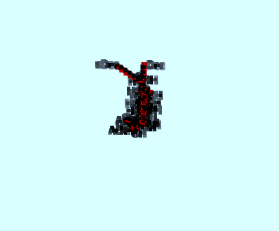 CCCCCCCCCCCCC/C=C/[C@@H](O)[C@H](CO[C@@H]1OC(CO)[C@@H](O[C@@H]2OC(CO)[C@H](O[C@@H]3OC(CO)[C@H](O)[C@H](O[C@@H]4OC(CO)[C@H](O)[C@H](O[C@]5(C(=O)O)CC(O)[C@@H](NC(C)=O)C([C@H](O)[C@H](O)CO)O5)C4NC(C)=O)C3O)[C@H](O)C2O)[C@H](O)C1O)NC(=O)CCCCCCCCCCCCCCCCCCC